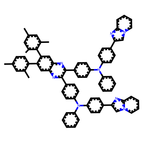 Cc1ccc(-c2cc3nc(-c4ccc(N(c5ccccc5)c5ccc(-c6cn7ccccc7n6)cc5)cc4)c(-c4ccc(N(c5ccccc5)c5ccc(-c6cn7ccccc7n6)cc5)cc4)nc3cc2-c2c(C)cc(C)cc2C)c(C)c1